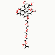 C=C(C)C(=O)OCCOCCOCCOCCOC(/C=C/C=O)=C/C(/C=C/C=O)C(=C/C=O)/C(=C/C=O)C(/C=C/C=O)=C/C=O